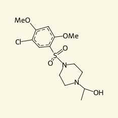 COc1cc(OC)c(S(=O)(=O)N2CCN(C(C)O)CC2)cc1Cl